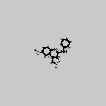 COc1ccc2nc(Nc3c[c]ccc3)c3n[nH]cc3c2c1